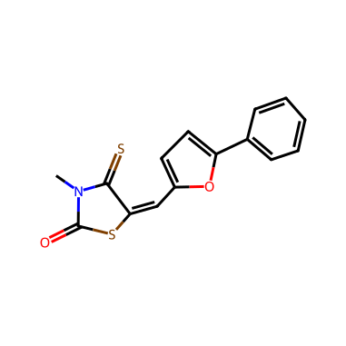 CN1C(=O)SC(=Cc2ccc(-c3ccccc3)o2)C1=S